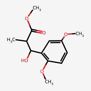 COC(=O)C(C)C(O)c1cc(OC)ccc1OC